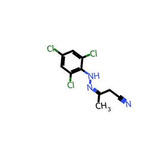 CC(CC#N)=NNc1c(Cl)cc(Cl)cc1Cl